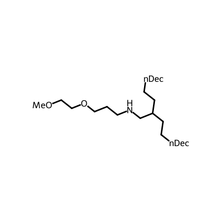 CCCCCCCCCCCCC(CCCCCCCCCCCC)CNCCCOCCOC